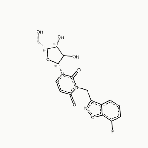 O=c1ccn([C@@H]2O[C@H](CO)[C@H](O)C2O)c(=O)n1Cc1noc2c(F)cccc12